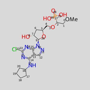 COCC(OC[C@@H]1C[C@@H](O)[C@H](n2ncc3c(NC4CCCC4)nc(Cl)nc32)O1)P(=O)(O)O